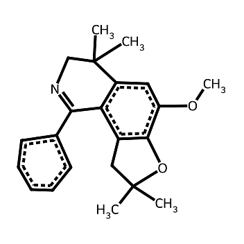 COc1cc2c(c3c1OC(C)(C)C3)C(c1ccccc1)=NCC2(C)C